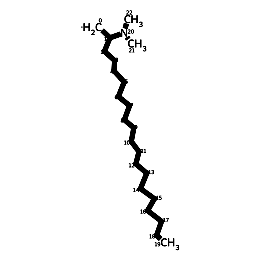 [CH2]C(CCCCCCCCCCCCCCCCCC)N(C)C